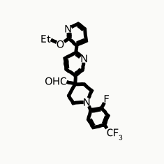 CCOc1ncccc1-c1ccc(C2(C=O)CCN(c3ccc(C(F)(F)F)cc3F)CC2)cn1